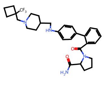 NC(=O)C1CCCN1C(=O)c1ccccc1-c1ccc(NCC2CCN(CC3(C(F)(F)F)CCC3)CC2)cc1